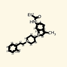 CCC(=O)Nc1ccc2c(C)cn(C3CCN(CCc4ccccc4F)CC3)c2c1